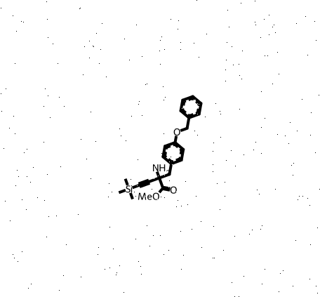 COC(=O)C(N)(C#C[Si](C)(C)C)Cc1ccc(OCc2ccccc2)cc1